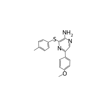 COc1ccc(-c2cnc(N)c(Sc3ccc(C)cc3)n2)cc1